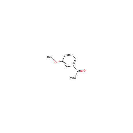 CCCCOc1cccc(C(=O)OC)c1